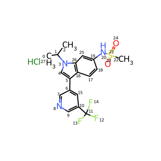 CC(C)n1cc(-c2cncc(C(F)(F)F)c2)c2ccc(NS(C)(=O)=O)cc21.Cl